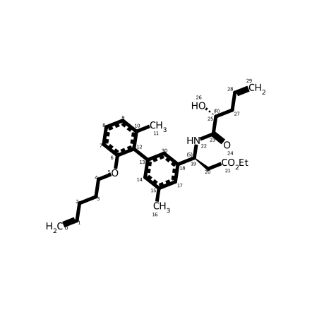 C=CCCCOc1cccc(C)c1-c1cc(C)cc([C@H](CC(=O)OCC)NC(=O)[C@H](O)CC=C)c1